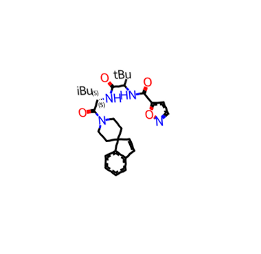 CC[C@H](C)[C@H](NC(=O)C(NC(=O)c1ccno1)C(C)(C)C)C(=O)N1CCC2(C=Cc3ccccc32)CC1